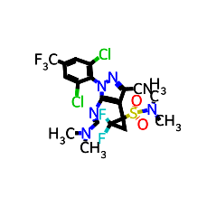 CN(C)C=Nc1c(C2(S(=O)(=O)N(C)C)CC2(F)F)c(C#N)nn1-c1c(Cl)cc(C(F)(F)F)cc1Cl